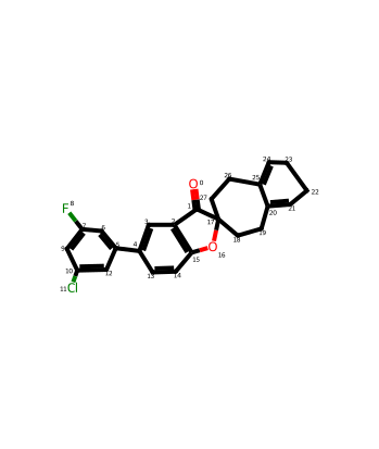 O=C1c2cc(-c3cc(F)cc(Cl)c3)ccc2OC12CCC1=CCCC=C1CC2